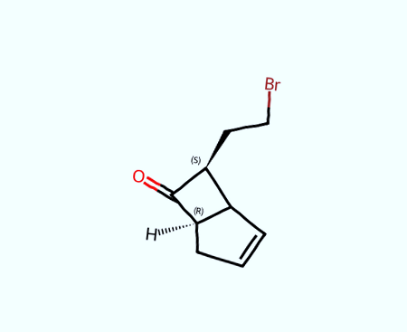 O=C1[C@@H](CCBr)C2C=CC[C@@H]12